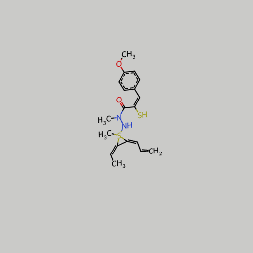 C=C/C=C1\C(=C/C)S1(C)NN(C)C(=O)/C(S)=C\c1ccc(OC)cc1